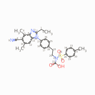 CCc1nc2c(C)c(C#N)c(C)cc2n1-c1ccc(CCN(C(=O)O)S(=O)(=O)c2ccc(C)cc2)cc1